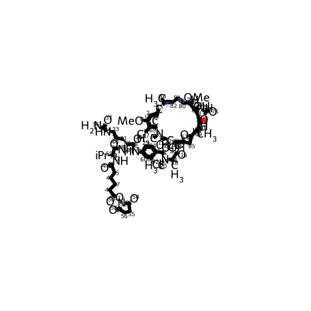 COc1cc2cc(c1Cl)N(C)C(=O)C[C@H](OC(=O)[C@H](C)N(C)C(=O)c1ccc(NC(=O)[C@H](CCCNC(N)=O)NC(=O)[C@@H](NC(=O)CCCCC(=O)ON3C(=O)CCC3=O)C(C)C)cc1Cl)[C@@]1(C)C[C@@H](O1)[C@H](C)[C@@H]1C[C@@](O)(NC(=O)O1)[C@H](OC)/C=C/C=C(\C)C2